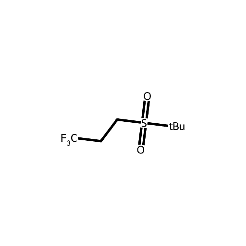 CC(C)(C)S(=O)(=O)CCC(F)(F)F